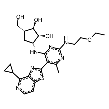 CCOCCNc1nc(C)c(-c2nc3c(C4CC4)nccc3s2)c(N[C@@H]2C[C@H](CO)[C@@H](O)[C@H]2O)n1